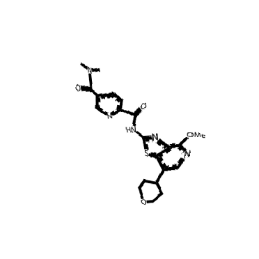 COc1ncc(C2CCOCC2)c2sc(NC(=O)c3ccc(C(=O)N(C)C)cn3)nc12